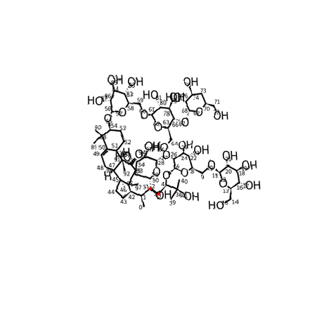 C[C@H](CC[C@@H](O[C@@H]1O[C@H](CO[C@@H]2O[C@H](CO)[C@@H](O)[C@H](O)[C@H]2O)[C@@H](O)[C@H](O)[C@H]1O[C@@H]1O[C@H](CO)C[C@H](O)[C@H]1O)C(C)(C)O)[C@H]1CC[C@@]2(C)[C@@H]3CC=C4[C@@H](CC[C@H](O[C@@H]5O[C@H](CO[C@@H]6O[C@H](CO)[C@@H](O[C@H]7O[C@H](CO)C[C@H](O)[C@H]7O)[C@H](O)[C@H]6O)[C@@H](O)[C@H](O)[C@H]5O)C4(C)C)[C@]3(C)C(=O)C[C@]12C